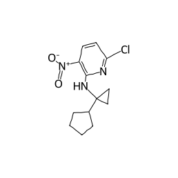 O=[N+]([O-])c1ccc(Cl)nc1NC1(C2CCCC2)CC1